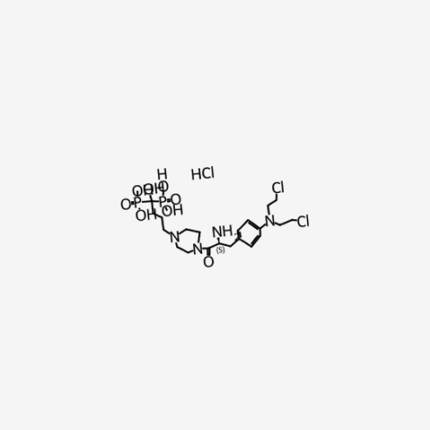 Cl.N[C@@H](Cc1ccc(N(CCCl)CCCl)cc1)C(=O)N1CCN(CCCC(O)(P(=O)(O)O)P(=O)(O)O)CC1